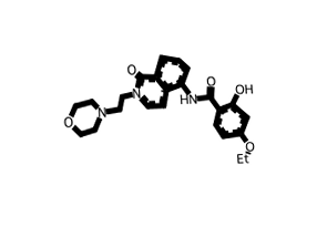 CCOc1ccc(C(=O)Nc2cccc3c(=O)n(CCN4CCOCC4)ccc23)c(O)c1